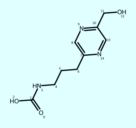 O=C(O)NCCCc1cnc(CO)cn1